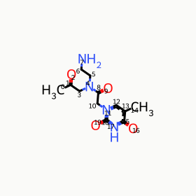 CC(=O)CN(CCN)C(=O)Cn1cc(C)c(=O)[nH]c1=O